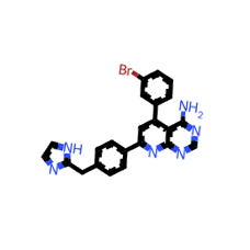 Nc1ncnc2nc(-c3ccc(Cc4ncc[nH]4)cc3)cc(-c3cccc(Br)c3)c12